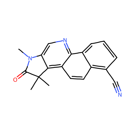 CN1C(=O)C(C)(C)c2c1cnc1c2ccc2c(C#N)cccc21